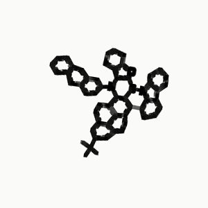 CC(C)(C)c1cc2ccc3c4c5c(c6ccc(c1)c2c36)N(c1ccc2cc3ccccc3cc2c1)c1c(oc2ccccc12)B5n1c2ccccc2c2cccc-4c21